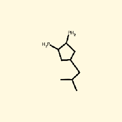 CC(C)CC1CC(P)C(P)C1